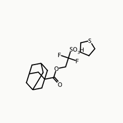 C1CCSC1.O=C(OCC(F)(F)S(=O)(=O)O)C12CC3CC(CC(C3)C1)C2